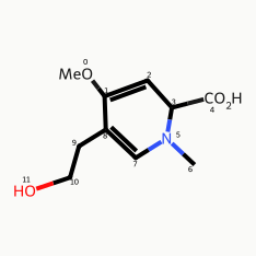 COC1=CC(C(=O)O)N(C)C=C1CCO